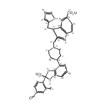 CC1(c2ccc(Cl)cc2F)Oc2cccc(C3CCN(Cc4nc5ccc(C(=O)O)nc5n4Cc4cnco4)CC3)c2O1